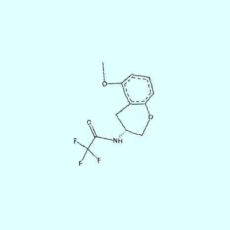 COc1cccc2c1C[C@@H](NC(=O)C(F)(F)F)CO2